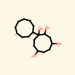 OC1CCC(O)CC(O)C(O)(C2CCCCCCCC2)CC1